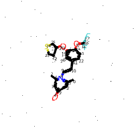 Cc1cc(=O)cc(C)n1C=Cc1ccc(OC(F)F)c(OC2CCSC2)c1